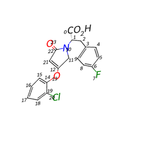 O=C(O)[C@H](Cc1ccc(F)cc1)N1CC(Oc2ccccc2Cl)=CC1=O